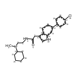 CN(CCNC(=O)Cc1c[nH]c2cc(-c3ccc(Cl)cc3)ccc12)C1CCCCC1